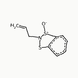 C=CCN1Sc2ccccc2[S+]1[O-]